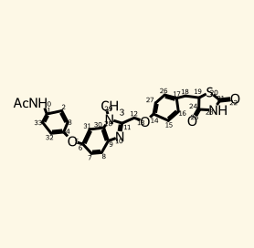 CC(=O)Nc1ccc(Oc2ccc3nc(COc4ccc(CC5SC(=O)NC5=O)cc4)n(C)c3c2)cc1